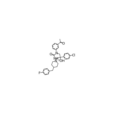 CC(=O)c1cccc(N(CC(O)(CN2CCC(Cc3ccc(F)cc3)CC2)c2ccc(Cl)cc2)C(N)=O)c1